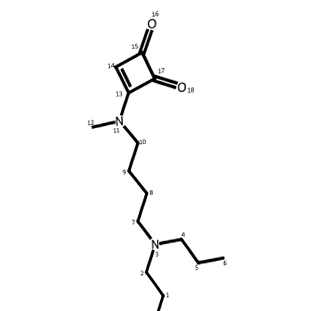 CCCN(CCC)CCCCN(C)c1cc(=O)c1=O